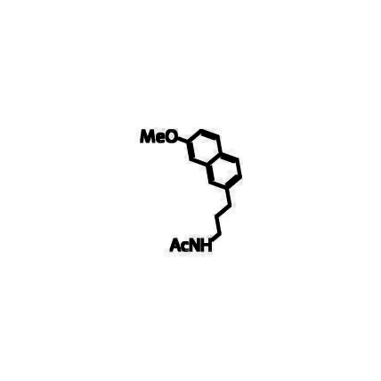 COc1ccc2ccc(CCCNC(C)=O)cc2c1